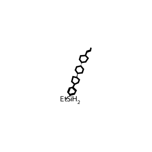 C/C=C/C1CCC([C@H]2CC[C@H](C3CCC(c4ccc([SiH2]CC)cc4)CC3)CC2)CC1